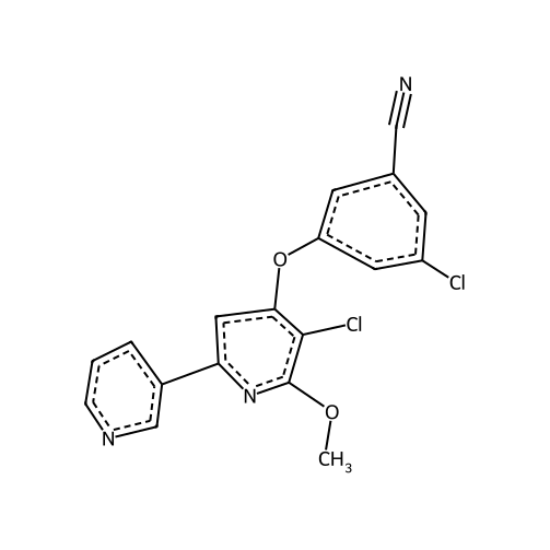 COc1nc(-c2cccnc2)cc(Oc2cc(Cl)cc(C#N)c2)c1Cl